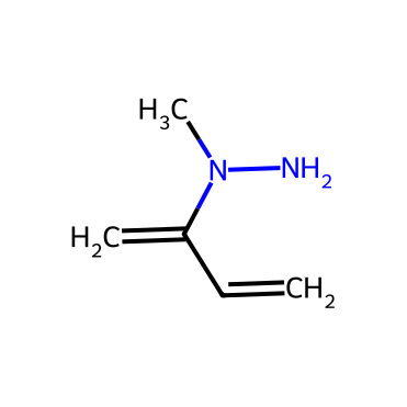 C=CC(=C)N(C)N